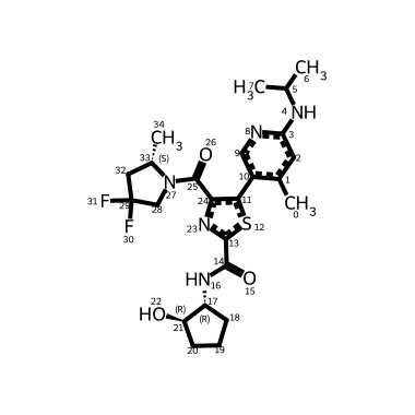 Cc1cc(NC(C)C)ncc1-c1sc(C(=O)N[C@@H]2CCC[C@H]2O)nc1C(=O)N1CC(F)(F)C[C@@H]1C